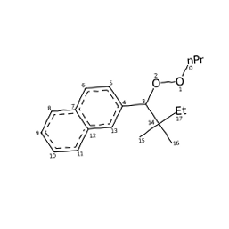 CCCOOC(c1ccc2ccccc2c1)C(C)(C)CC